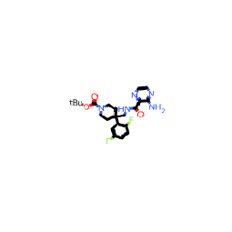 CC(C)(C)OC(=O)N1CCC(CNC(=O)c2nccnc2N)(c2cc(F)ccc2F)CC1